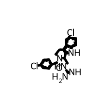 N=C(N)NCC1c2[nH]c3ccc(Cl)cc3c2CCN1C(=O)c1ccc(Cl)cc1